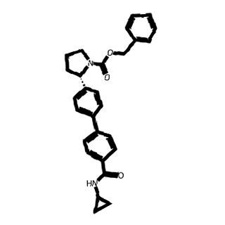 O=C(NC1CC1)c1ccc(-c2ccc([C@@H]3CCCN3C(=O)OCc3ccccc3)cc2)cc1